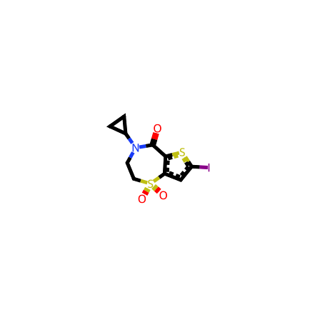 O=C1c2sc(I)cc2S(=O)(=O)CCN1C1CC1